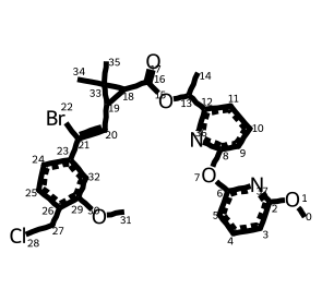 COc1cccc(Oc2cccc(C(C)OC(=O)C3C(/C=C(\Br)c4ccc(CCl)c(OC)c4)C3(C)C)n2)n1